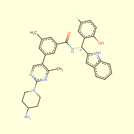 Cc1cc(C(=O)N[C@@H](c2cc3ccccc3[nH]2)c2cc(F)ccc2O)cc(-c2cnc(N3CCC(N)CC3)nc2C)c1